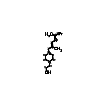 C/C(=C\N=C(/C)C(C)C)CN1CCN(CCO)CC1